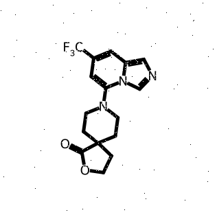 O=C1OCCC12CCN(c1cc(C(F)(F)F)cc3cncn13)CC2